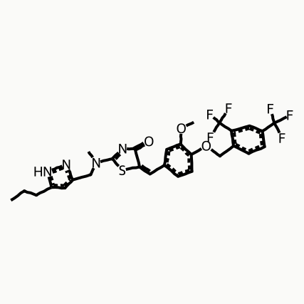 CCCc1cc(CN(C)C2=NC(=O)C(=Cc3ccc(OCc4ccc(C(F)(F)F)cc4C(F)(F)F)c(OC)c3)S2)n[nH]1